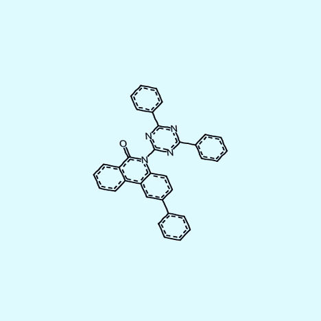 O=c1c2ccccc2c2cc(-c3ccccc3)ccc2n1-c1nc(-c2ccccc2)nc(-c2ccccc2)n1